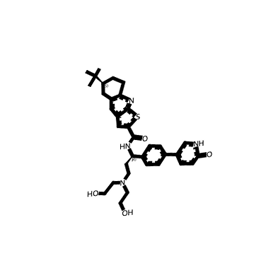 CC(C)(C)[C@H]1CCc2nc3sc(C(=O)N[C@H](CCN(CCO)CCO)c4ccc(-c5ccc(=O)[nH]c5)cc4)cc3cc2C1